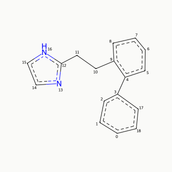 c1ccc(-c2ccccc2CCc2ncc[nH]2)cc1